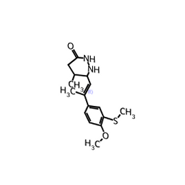 COc1ccc(/C(C)=C/C2NNC(=O)CC2C)cc1SC